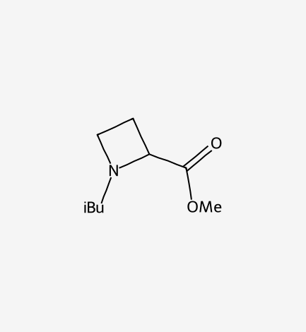 CCC(C)N1CCC1C(=O)OC